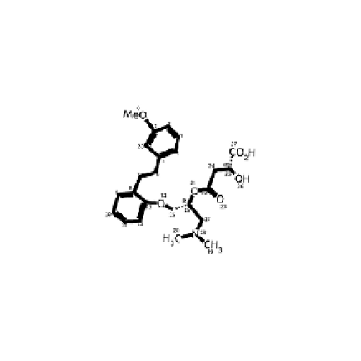 COc1cccc(CCc2ccccc2OC[C@@H](CN(C)C)OC(=O)C[C@@H](O)C(=O)O)c1